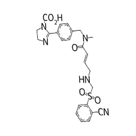 CN(Cc1ccc(C2=NCCN2C(=O)O)cc1)C(=O)C=CCNCS(=O)(=O)c1ccccc1C#N